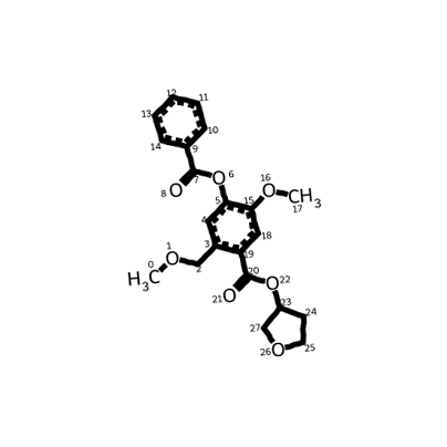 COCc1cc(OC(=O)c2ccccc2)c(OC)cc1C(=O)OC1CCOC1